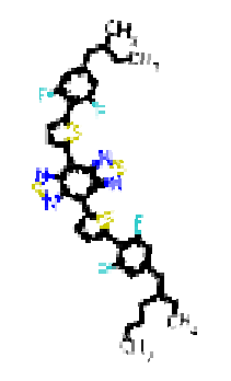 CCCCC(CC)Cc1cc(F)c(-c2ccc(-c3c4c(c(-c5ccc(-c6c(F)cc(CC(C)CC)cc6F)s5)c5nsnc35)N=S=N4)s2)c(F)c1